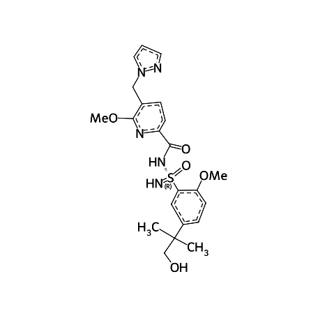 COc1ccc(C(C)(C)CO)cc1[S@@](=N)(=O)NC(=O)c1ccc(Cn2cccn2)c(OC)n1